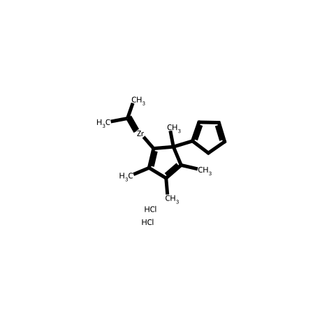 C[C](C)=[Zr][C]1=C(C)C(C)=C(C)C1(C)C1=CC=CC1.Cl.Cl